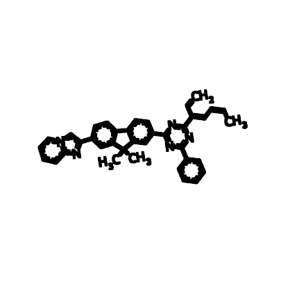 C=C/C(=C\C=C/C)c1nc(-c2ccccc2)nc(-c2ccc3c(c2)C(C)(C)c2cc(-c4cn5ccccc5n4)ccc2-3)n1